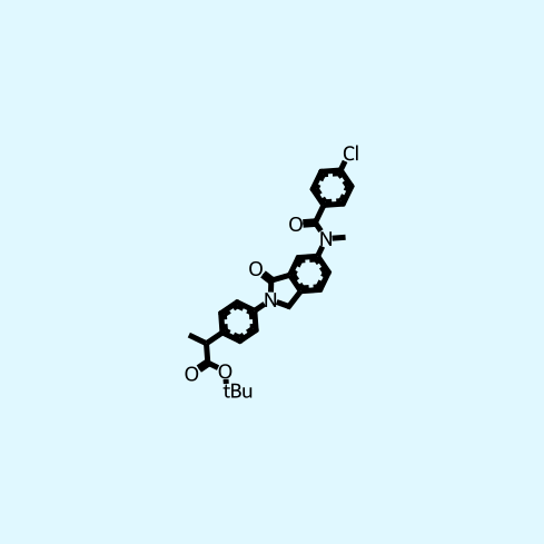 CC(C(=O)OC(C)(C)C)c1ccc(N2Cc3ccc(N(C)C(=O)c4ccc(Cl)cc4)cc3C2=O)cc1